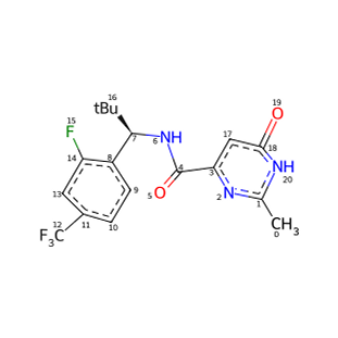 Cc1nc(C(=O)N[C@@H](c2ccc(C(F)(F)F)cc2F)C(C)(C)C)cc(=O)[nH]1